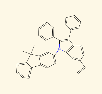 C=Cc1ccc2c(-c3ccccc3)c(-c3ccccc3)n(-c3ccc4c(c3)C(C)(C)c3ccccc3-4)c2c1